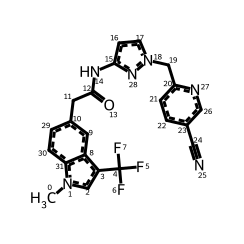 Cn1cc(C(F)(F)F)c2cc(CC(=O)Nc3ccn(Cc4ccc(C#N)cn4)n3)ccc21